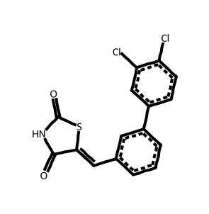 O=C1NC(=O)C(=Cc2cccc(-c3ccc(Cl)c(Cl)c3)c2)S1